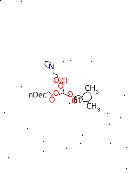 CCCCCCCCCCCC(=O)OCC(COC(=O)CC1(CC)CC(C)CC[C@@H](C)C1)COC(=O)OCCCN1CCCC1